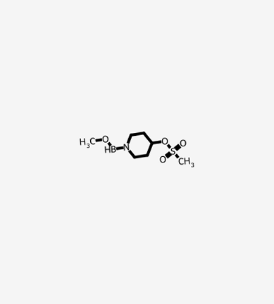 COBN1CCC(OS(C)(=O)=O)CC1